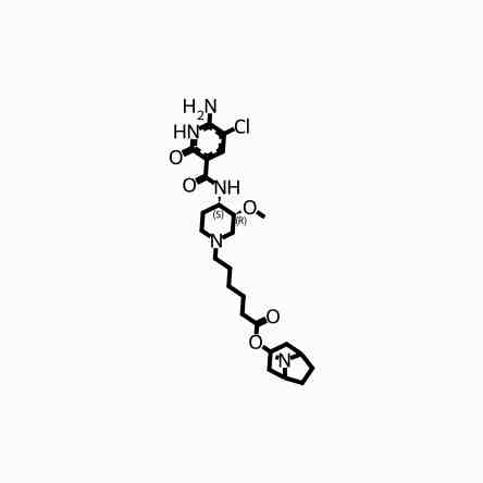 CO[C@@H]1CN(CCCCCC(=O)OC2CC3CCC(C2)N3C)CC[C@@H]1NC(=O)c1cc(Cl)c(N)[nH]c1=O